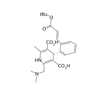 CC1=C(C(=O)O)[C@H](c2ccccc2C=CC(=O)OC(C)(C)C)C(C(=O)O)=C(CN(C)C)N1